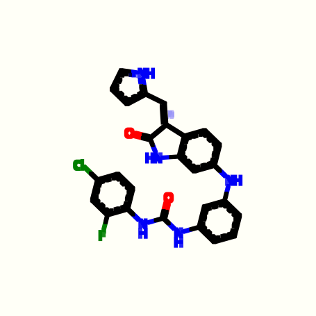 O=C(Nc1cccc(Nc2ccc3c(c2)NC(=O)/C3=C\c2ccc[nH]2)c1)Nc1ccc(Cl)cc1F